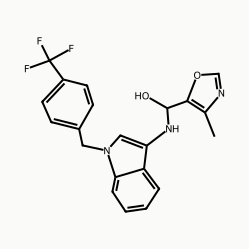 Cc1ncoc1C(O)Nc1cn(Cc2ccc(C(F)(F)F)cc2)c2ccccc12